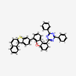 c1ccc(-c2nc(-c3ccccc3)nc(-c3cccc4oc5c(-c6ccc7c(c6)sc6ccc8ccccc8c67)cccc5c34)n2)cc1